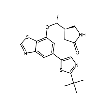 C[C@@H](Oc1cc(-c2cnc(C(C)(C)C)s2)cc2ncsc12)[C@H]1CNC(=O)C1